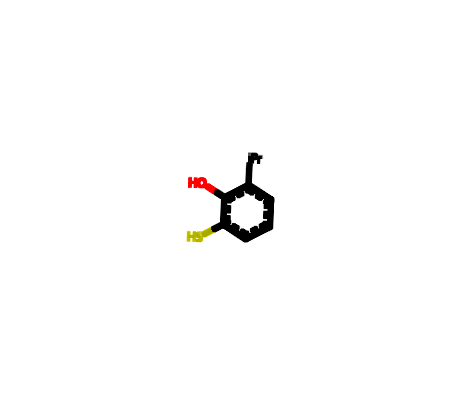 CC(C)c1cccc(S)c1O